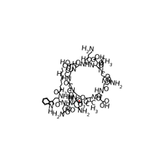 CCCCCCCCCC(=O)NC(Cc1c[nH]c2ccccc12)C(=O)NC(CC(N)=O)C(=O)NC(C(=O)NC1C(=O)N(C)CC(=O)NC(C)C(=O)NC(CC(=O)O)C(=O)NC(CCCCN)C(=O)NC(C(OC)C(=O)O)C(=O)NCC(=O)NC(CC(N)=O)C(=O)NC(CCC(=O)O)C(=O)NC(C(C)C)C(=O)OC1C)C(O)C(N)=O